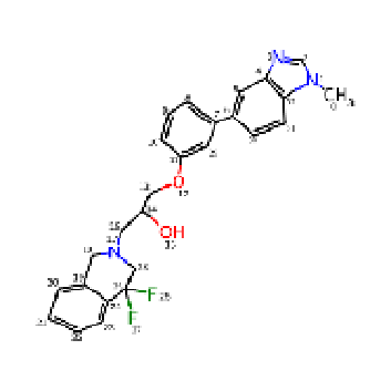 Cn1cnc2cc(-c3cccc(OCC(O)CN4Cc5ccccc5C(F)(F)C4)c3)ccc21